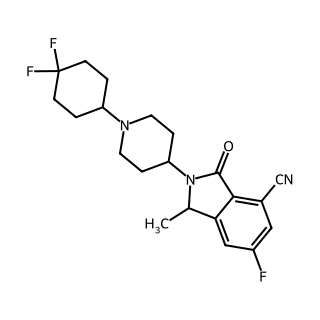 CC1c2cc(F)cc(C#N)c2C(=O)N1C1CCN(C2CCC(F)(F)CC2)CC1